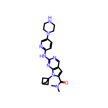 CN(C)C(=O)c1cc2cnc(Nc3ccc(N4CCNCC4)cn3)nc2n1C12CC(C1)C2